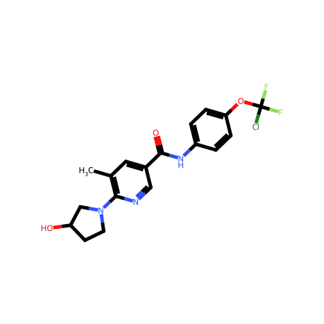 Cc1cc(C(=O)Nc2ccc(OC(F)(F)Cl)cc2)cnc1N1CCC(O)C1